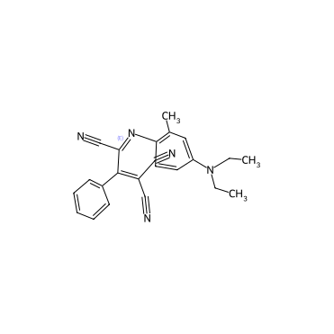 CCN(CC)c1ccc(/N=C(/C#N)C(=C(C#N)C#N)c2ccccc2)c(C)c1